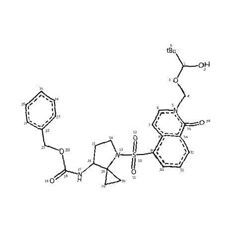 CC(C)(C)C(O)OCn1ccc2c(S(=O)(=O)N3CCC(NC(=O)OCc4ccccc4)C34CC4)cccc2c1=O